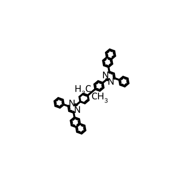 CC(C)(C1=CCC(c2nc(-c3ccccc3)cc(-c3ccc4ccccc4c3)n2)C=C1)c1ccc(-c2nc(-c3ccccc3)cc(-c3ccc4ccccc4c3)n2)cc1